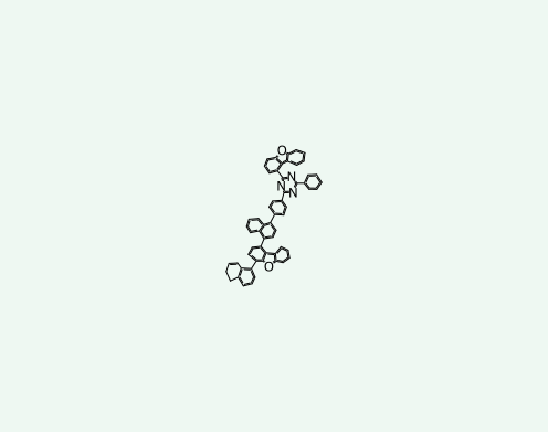 C1=Cc2c(cccc2-c2ccc(-c3ccc(-c4ccc(-c5nc(-c6ccccc6)nc(-c6cccc7oc8ccccc8c67)n5)cc4)c4ccccc34)c3c2oc2ccccc23)CC1